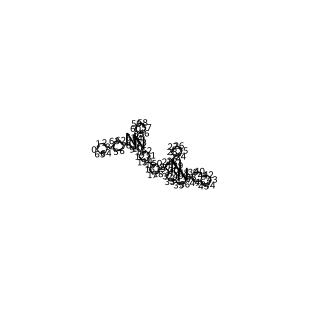 c1ccc(-c2ccc(-c3cc(-c4ccc(-c5cccc(-c6cc(-c7ccccc7)nc7c6ccc6ccc(-c8ccc9ccccc9c8)nc67)c5)cc4)nc(-c4ccccc4)n3)cc2)cc1